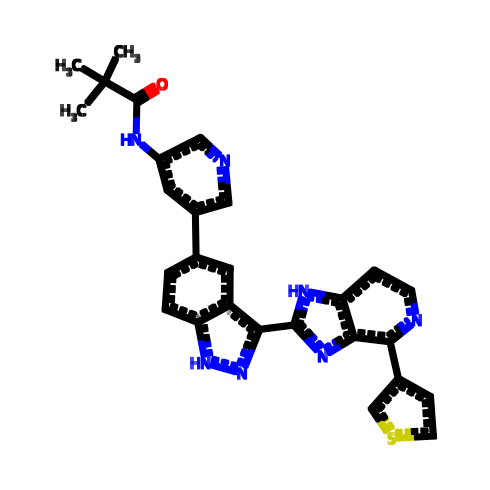 CC(C)(C)C(=O)Nc1cncc(-c2ccc3[nH]nc(-c4nc5c(-c6ccsc6)nccc5[nH]4)c3c2)c1